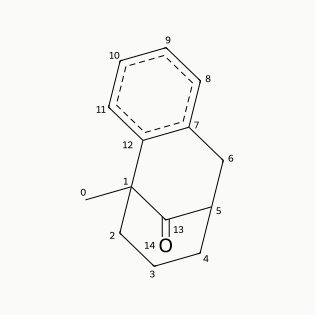 CC12CCCC(Cc3ccccc31)C2=O